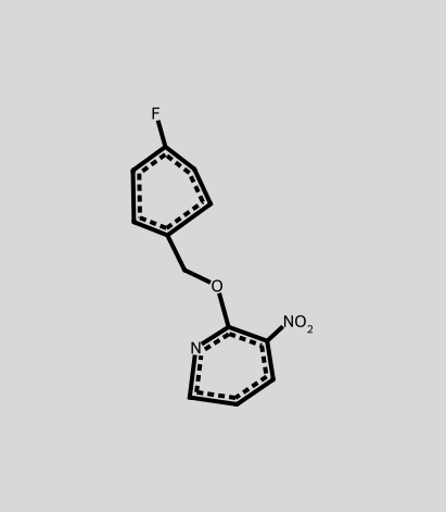 O=[N+]([O-])c1cccnc1OCc1ccc(F)cc1